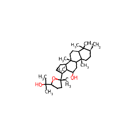 C[C@H]1CC[C@@]2(C)C(CC[C@]3(C)C2C[C@@H](O)C2C(C4(C)CCC(C(C)(C)O)O4)CC[C@]23C)C1(C)C